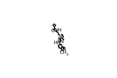 Cn1ncc2cc(Nc3ncc4ccn(CCCNC(=O)C5CCC5)c4n3)ccc21